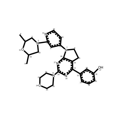 CC1CN(c2cc(N3CCc4c(-c5cccc(O)c5)nc(N5CCOCC5)nc43)ccn2)CC(C)O1